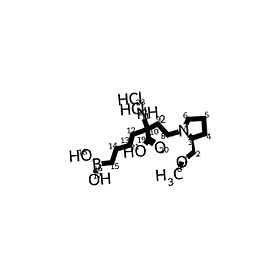 COC[C@@H]1CCCN1CCC(N)(CCCCB(O)O)C(=O)O.Cl.Cl